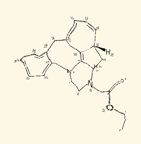 CCOC(=O)N1CCN2C3=C4C(=CC=C[C@@H]4C[C@H]31)Cc1ccccc12